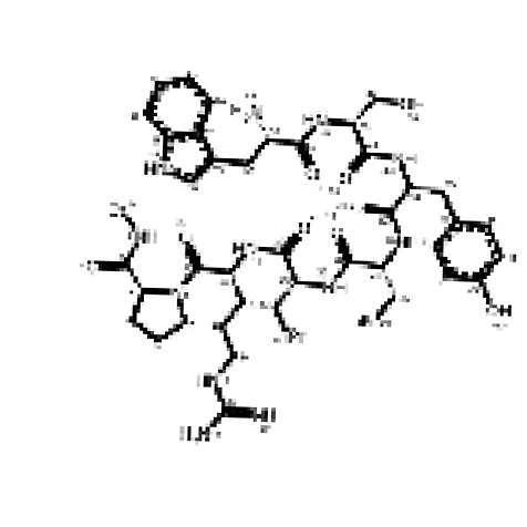 CCNC(=O)[C@@H]1CCCN1C(=O)[C@H](CCCNC(=N)N)NC(=O)[C@H](CC(C)C)NC(=O)[C@@H](CC(C)C)NC(=O)[C@H](Cc1ccc(O)cc1)NC(=O)[C@H](CO)NC(=O)[C@@H](N)Cc1c[nH]c2ccccc12